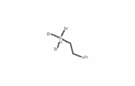 CCCCC[PH](Br)(Br)Br